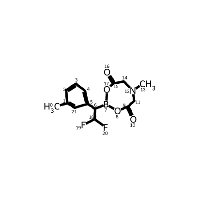 Cc1cccc(C(B2OC(=O)CN(C)CC(=O)O2)C(F)F)c1